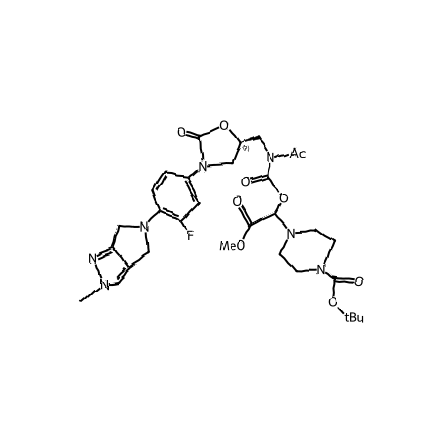 COC(=O)C(OC(=O)N(C[C@H]1CN(c2ccc(N3Cc4cn(C)nc4C3)c(F)c2)C(=O)O1)C(C)=O)N1CCN(C(=O)OC(C)(C)C)CC1